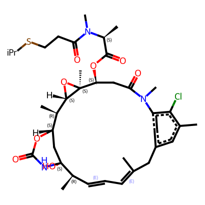 C/C1=C\C=C\[C@@H](C)[C@@]2(O)C[C@H](OC(=O)N2)[C@@H](C)[C@@H]2O[C@@]2(C)[C@@H](OC(=O)[C@H](C)N(C)C(=O)CCSC(C)C)CC(=O)N(C)c2cc(cc(C)c2Cl)C1